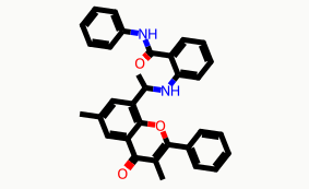 Cc1cc(C(C)Nc2ccccc2C(=O)Nc2ccccc2)c2oc(-c3ccccc3)c(C)c(=O)c2c1